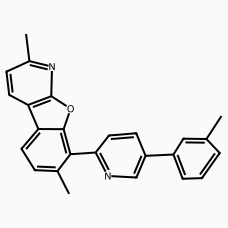 Cc1cccc(-c2ccc(-c3c(C)ccc4c3oc3nc(C)ccc34)nc2)c1